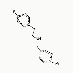 CC(C)c1ccc(CNCCc2ccc(F)cc2)cc1